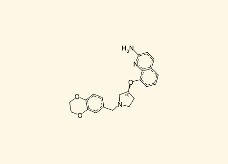 Nc1ccc2cccc(O[C@H]3CCN(Cc4ccc5c(c4)OCCO5)C3)c2n1